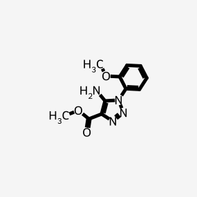 COC(=O)c1nnn(-c2ccccc2OC)c1N